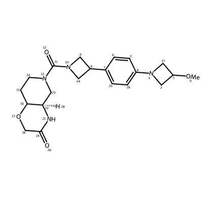 COC1CN(c2ccc(C3CN(C(=O)N4CCC5OCC(=O)N[C@@H]5C4)C3)cc2)C1